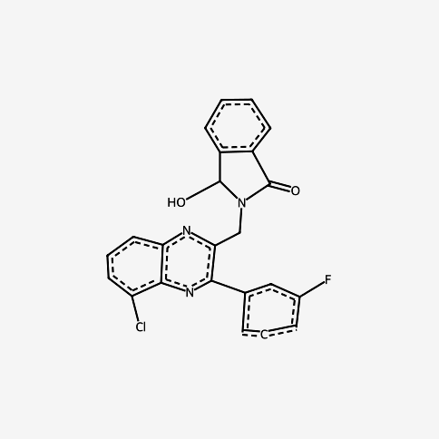 O=C1c2ccccc2C(O)N1Cc1nc2cccc(Cl)c2nc1-c1cccc(F)c1